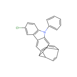 Clc1ccc2c(c1)c1cc3c(cc1n2-c1ccccc1)C1C=CC2C(C=C1)C32